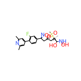 Cc1cc(-c2ccc(C3=NO[C@@H](C[C@](C)(C(O)NO)S(C)(=O)=O)C3)cc2F)cc(C)n1